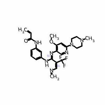 C=CC(=O)Nc1cccc(NC(=N/c2cnc(N3CCN(C)CC3)cc2OC)/C(=C\N=C)C(F)(F)F)c1